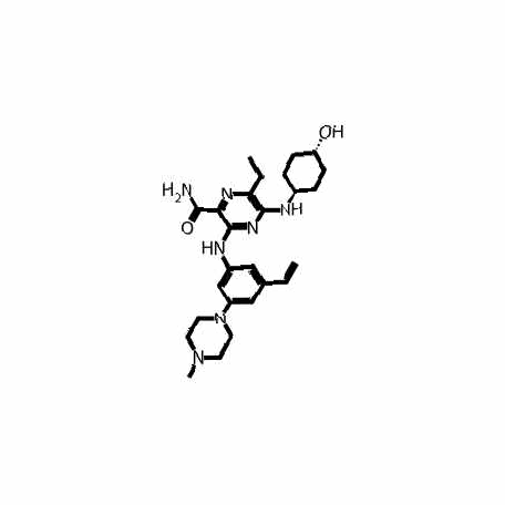 C=Cc1cc(Nc2nc(N[C@H]3CC[C@H](O)CC3)c(CC)nc2C(N)=O)cc(N2CCN(C)CC2)c1